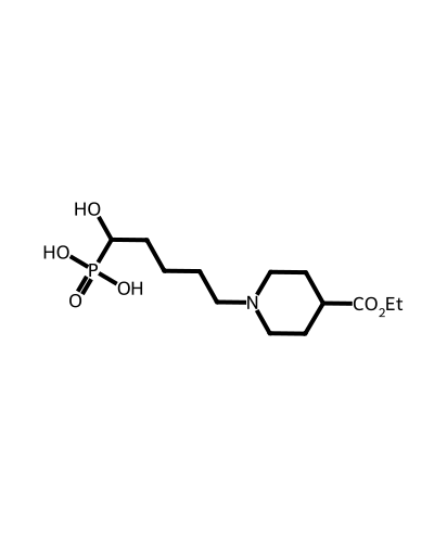 CCOC(=O)C1CCN(CCCCC(O)P(=O)(O)O)CC1